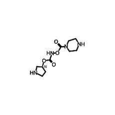 O=C(NOC(=O)N1CCNCC1)O[C@H]1CCNC1